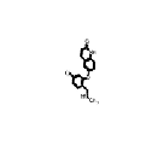 CNCc1ccc(Cl)cc1Oc1ccc2[nH]c(=O)ccc2c1